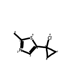 Cc1ncc(C2(Cl)CC2)s1